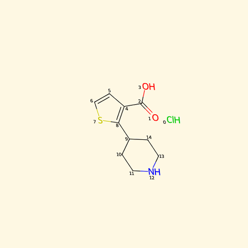 Cl.O=C(O)c1ccsc1C1CCNCC1